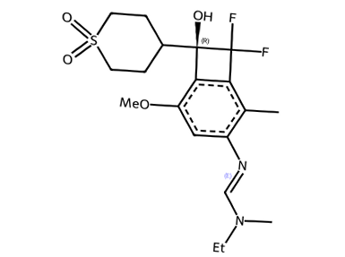 CCN(C)/C=N/c1cc(OC)c2c(c1C)C(F)(F)[C@@]2(O)C1CCS(=O)(=O)CC1